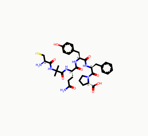 CC(C)(NC(=O)[C@@H](N)CS)C(=O)N[C@@H](CCC(N)=O)C(=O)N[C@@H](Cc1ccc(O)cc1)C(=O)N[C@@H](Cc1ccccc1)C(=O)N1CCC[C@H]1C(=O)O